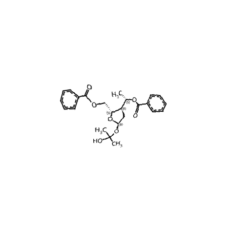 C[C@H](OC(=O)c1ccccc1)[C@H]1C[C@@H](OC(C)(C)O)O[C@@H]1COC(=O)c1ccccc1